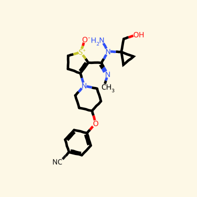 C/N=C(\C1=C(N2CCC(Oc3ccc(C#N)cc3)CC2)CC[S+]1[O-])N(N)C1(CO)CC1